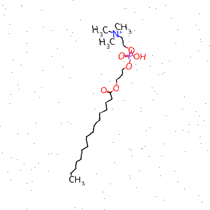 CCCCCCCCCCCCCCCC(=O)OCCCOP(=O)(O)OCC[N+](C)(C)C